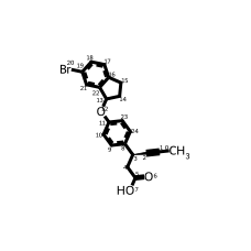 CC#C[C@@H](CC(=O)O)c1ccc(OC2CCc3ccc(Br)cc32)cc1